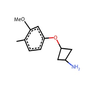 COc1cc(OC2CC(N)C2)ccc1C